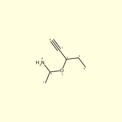 C#CC(CC)OC(C)N